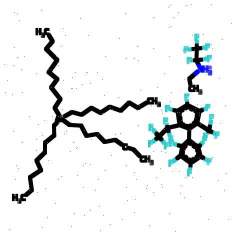 CCCCCCCC[CH2][Al-]([CH2]CCCCCCCC)([CH2]CCCCCCCC)[CH2]CCCCCCCC.CC[NH2+]C(F)(F)C(F)(F)F.Fc1c(F)c(F)c(-c2c(C(F)(F)F)c(F)c(F)c(F)c2C(F)(F)C(F)(F)F)c(F)c1F